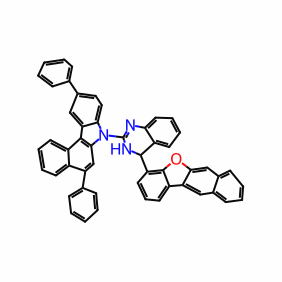 c1ccc(-c2ccc3c(c2)c2c4ccccc4c(-c4ccccc4)cc2n3C2=Nc3ccccc3C(c3cccc4c3oc3cc5ccccc5cc34)N2)cc1